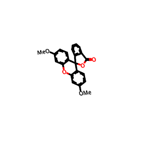 COc1ccc2c(c1)Oc1cc(OC)ccc1C21OC(=O)c2ccccc21